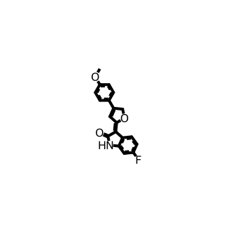 COc1ccc(C2=C/C(=C3\C(=O)Nc4cc(F)ccc43)OC2)cc1